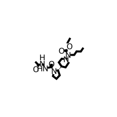 CCCCN(C(=O)OCC)N1CCC([C@@H]2CCCN2C(=O)NNC(C)=O)CC1